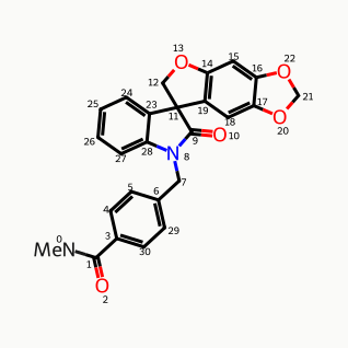 CNC(=O)c1ccc(CN2C(=O)C3(COc4cc5c(cc43)OCO5)c3ccccc32)cc1